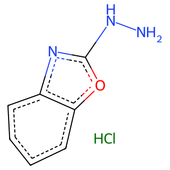 Cl.NNc1nc2ccccc2o1